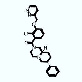 O=C(c1cccc(OCc2cccnn2)c1Cl)N1CCN2C[C@@H](c3ccccc3)CC[C@@H]2C1